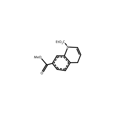 CCOC(=O)N1C=CCc2ccc(C(=O)OC)cc21